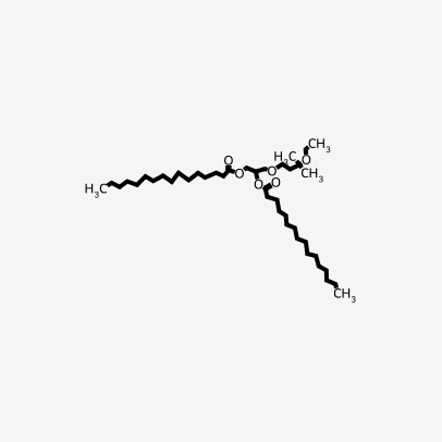 CCCCCCCCCCCCCCCC(=O)OCC(COCCC(C)(C)OCC)OC(=O)CCCCCCCCCCCCCCC